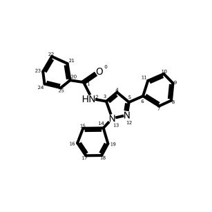 O=C(Nc1cc(-c2ccccc2)nn1-c1ccccc1)c1ccccc1